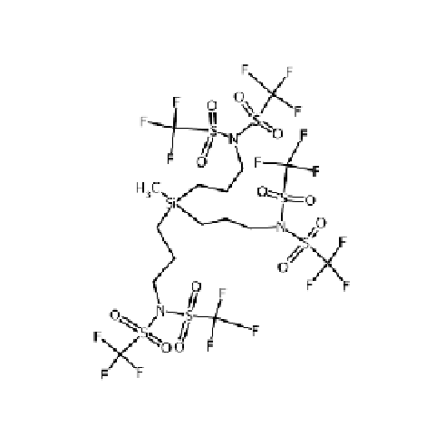 C[Si](CCCN(S(=O)(=O)C(F)(F)F)S(=O)(=O)C(F)(F)F)(CCCN(S(=O)(=O)C(F)(F)F)S(=O)(=O)C(F)(F)F)CCCN(S(=O)(=O)C(F)(F)F)S(=O)(=O)C(F)(F)F